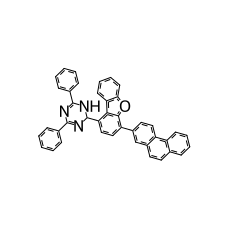 c1ccc(C2=NC(c3ccc(-c4ccc5c(ccc6ccccc65)c4)c4oc5ccccc5c34)NC(c3ccccc3)=N2)cc1